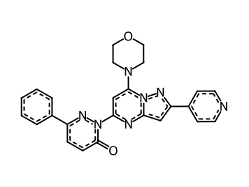 O=c1ccc(-c2ccccc2)nn1-c1cc(N2CCOCC2)n2nc(-c3ccncc3)cc2n1